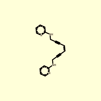 C(#CCNc1ccccn1)/C=C\C#CCNc1ccccn1